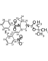 CC(C)(C)OC(=O)N1CC(C=Cc2c(F)cccc2[N+](=O)[O-])N(S(=O)(=O)c2ccccc2)C2(CC2)C1